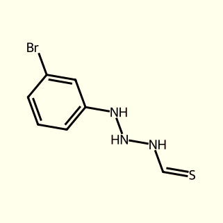 S=CNNNc1cccc(Br)c1